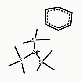 C[Si](C)(C)[SiH]([Si](C)(C)C)[Si](C)(C)C.c1ccccc1